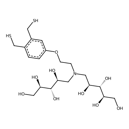 OC[C@@H](O)[C@@H](O)[C@@H](O)CN(CCOc1ccc(CS)c(CS)c1)C[C@H](O)[C@H](O)[C@H](O)CO